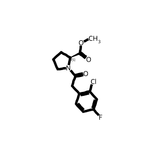 COC(=O)[C@@H]1CCCN1C(=O)Cc1ccc(F)cc1Cl